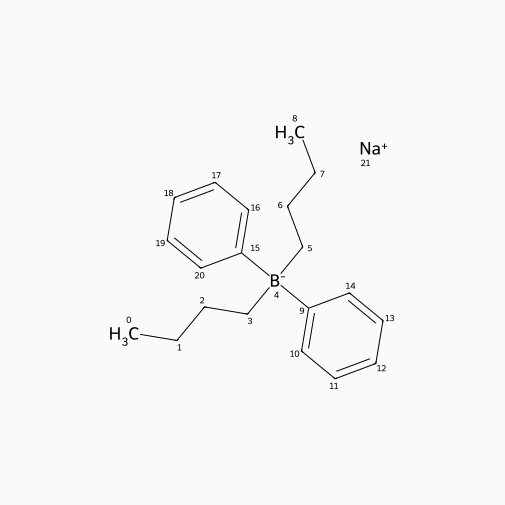 CCCC[B-](CCCC)(c1ccccc1)c1ccccc1.[Na+]